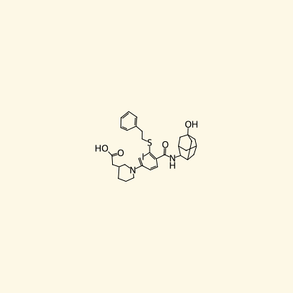 C=C(/C=C\C(C(=O)NC1C2CC3CC1CC(O)(C3)C2)=C(/I)SCCc1ccccc1)N1CCCC(CC(=O)O)C1